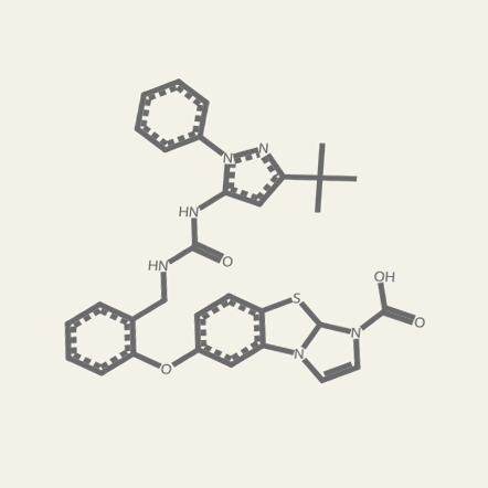 CC(C)(C)c1cc(NC(=O)NCc2ccccc2Oc2ccc3c(c2)N2C=CN(C(=O)O)C2S3)n(-c2ccccc2)n1